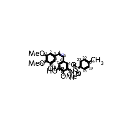 COc1cc(/C=C\c2cc(O)c(OC)c(NS(=O)(=O)c3ccc(C)cc3)c2)cc(OC)c1OC